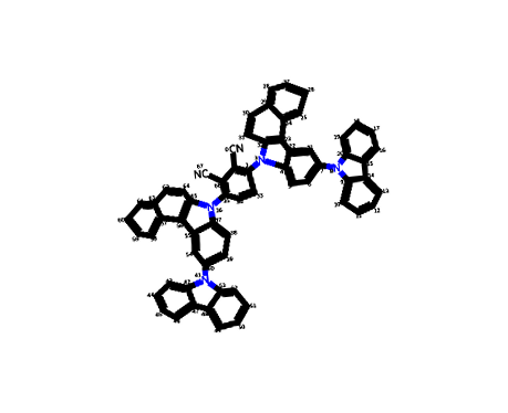 N#Cc1c(-n2c3ccc(-n4c5ccccc5c5ccccc54)cc3c3c4ccccc4ccc32)ccc(-n2c3ccc(-n4c5ccccc5c5ccccc54)cc3c3c4ccccc4ccc32)c1C#N